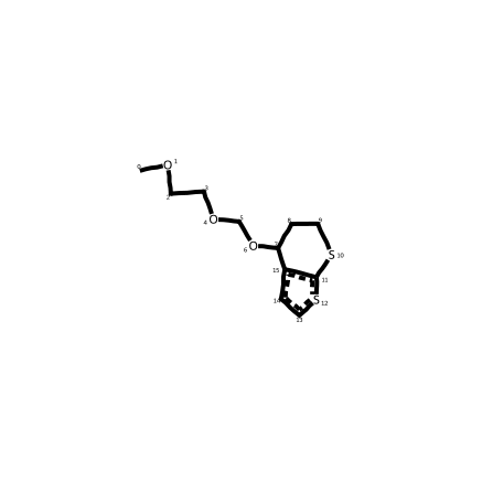 COCCOCOC1CCSc2sccc21